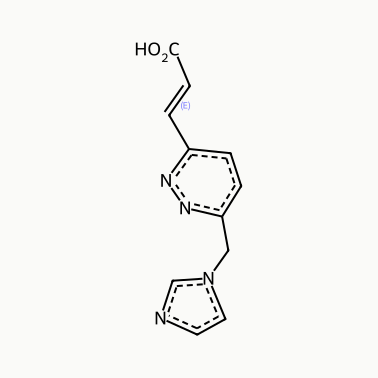 O=C(O)/C=C/c1ccc(Cn2ccnc2)nn1